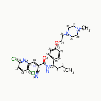 CCCC(NC(=O)/C(C#N)=C/c1nc(Cl)ccc1Cl)c1ccc(OCCN2CCN(C)CC2)cc1